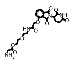 NCC(=O)OCCOCCNC(=O)COc1cccc2c1C(=O)N(C1CCC(=O)NC1=O)C2=O